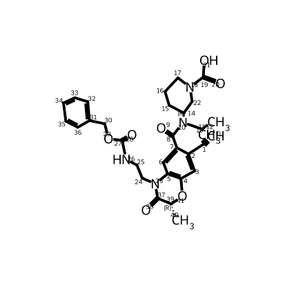 C#Cc1cc2c(cc1C(=O)N(C(C)C)[C@@H]1CCCN(C(=O)O)C1)N(CCNC(=O)OCc1ccccc1)C(=O)[C@@H](C)O2